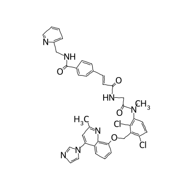 Cc1cc(-n2ccnc2)c2cccc(OCc3c(Cl)ccc(N(C)C(=O)CNC(=O)/C=C/c4ccc(C(=O)NCc5ccccn5)cc4)c3Cl)c2n1